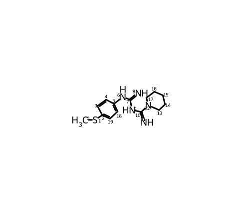 CSc1ccc(NC(=N)NC(=N)N2CCCCC2)cc1